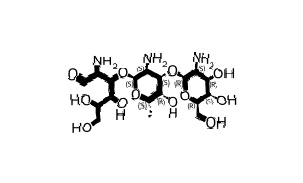 C[C@@H]1O[C@@H](OC(C(N)C=O)C(O)C(O)CO)[C@@H](N)[C@H](O[C@@H]2O[C@H](CO)[C@@H](O)[C@H](O)[C@@H]2N)[C@@H]1O